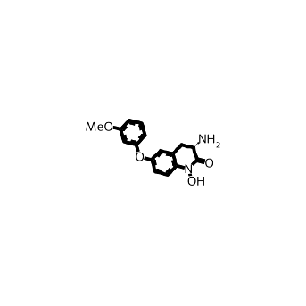 COc1cccc(Oc2ccc3c(c2)C[C@H](N)C(=O)N3O)c1